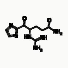 N=C(N)NC(CCC(N)=O)C(=O)c1nccs1